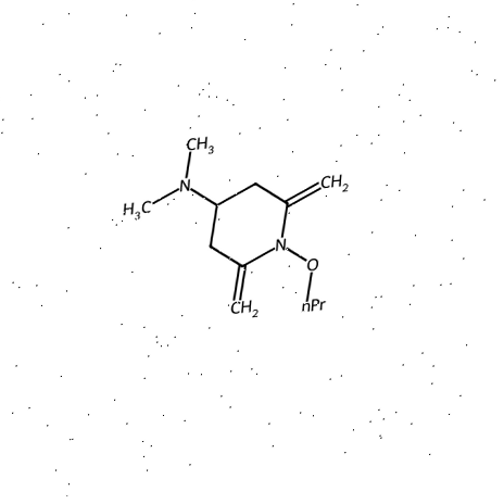 C=C1CC(N(C)C)CC(=C)N1OCCC